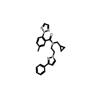 Cc1ccc(-n2nccn2)c(C(=O)N(CCn2ccc(-c3ccccc3)n2)CC2CC2)c1